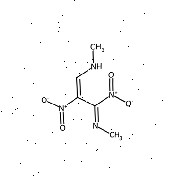 C/N=C(/C(=C\NC)[N+](=O)[O-])[N+](=O)[O-]